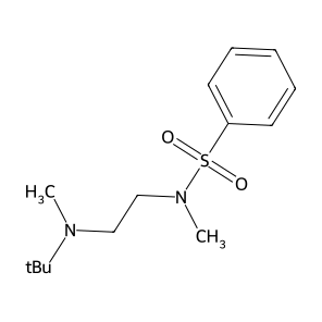 CN(CCN(C)S(=O)(=O)c1ccccc1)C(C)(C)C